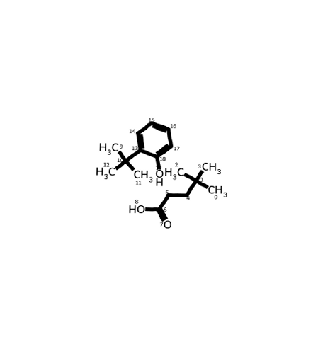 CC(C)(C)CCC(=O)O.CC(C)(C)c1ccccc1O